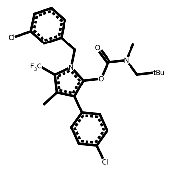 Cc1c(-c2ccc(Cl)cc2)c(OC(=O)N(C)CC(C)(C)C)n(Cc2cccc(Cl)c2)c1C(F)(F)F